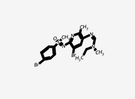 CCN(C)/C=N\c1cc(Br)c(N=S(C)(=O)c2ccc(Br)cc2)nc1C